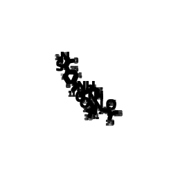 Cc1ncsc1-c1ccc(C(C)NC(=O)C2CCCN2C(=O)C(NCC(=O)C(C)C)C(C)(C)C)cc1